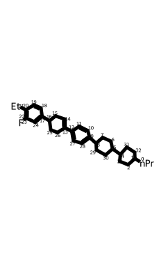 CCCC1CCC(C2CCC(c3ccc(C4=CCC(c5ccc(CC)c(F)c5)CC4)cc3)CC2)CC1